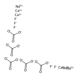 O=C([O-])[O-].O=C([O-])[O-].O=C([O-])[O-].O=C([O-])[O-].O=C([O-])[O-].[Ca+2].[Ca+2].[Ca+2].[F-].[F-].[F-].[F-].[F-].[Nd+3].[Nd+3].[Nd+3]